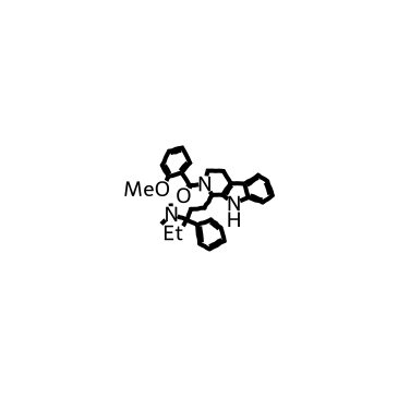 CCC(CCC1c2[nH]c3ccccc3c2CCN1C(=O)c1ccccc1OC)(c1ccccc1)N(C)C